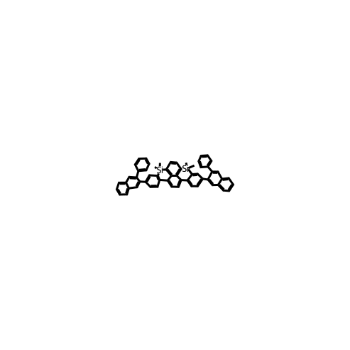 C[Si]1(C)c2cc(-c3cc4ccccc4cc3-c3ccccc3)ccc2-c2ccc3c4c(ccc1c24)[Si](C)(C)c1cc(-c2cc4ccccc4cc2-c2ccccc2)ccc1-3